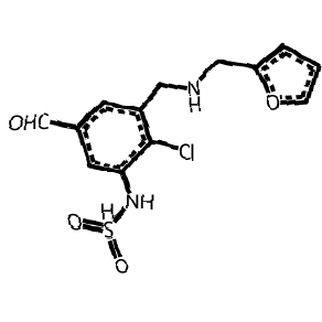 O=Cc1cc(CNCc2ccco2)c(Cl)c(N[SH](=O)=O)c1